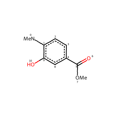 CNc1ccc(C(=O)OC)cc1O